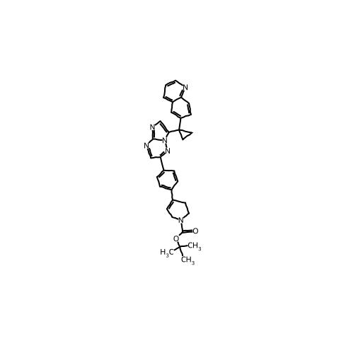 CC(C)(C)OC(=O)N1CC=C(c2ccc(-c3cnc4ncc(C5(c6ccc7ncccc7c6)CC5)n4n3)cc2)CC1